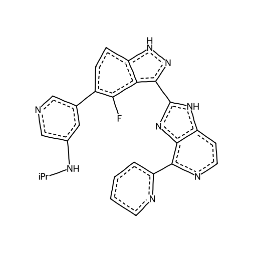 CC(C)Nc1cncc(-c2ccc3[nH]nc(-c4nc5c(-c6ccccn6)nccc5[nH]4)c3c2F)c1